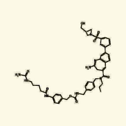 CCCN(Cc1ccc(CNC(=O)OCc2ccc(NC(=O)CCCCNC(N)=O)cc2)cc1)C(=O)C1=Cc2ccc(-c3cccc(S(=O)(=O)N4CC(CO)C4)c3)cc2N=C(N)C1